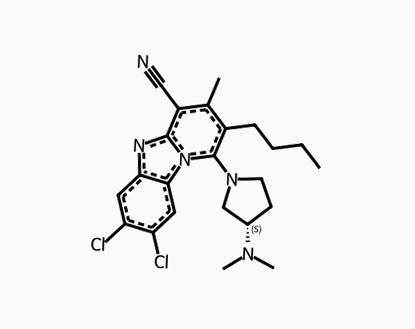 CCCCc1c(C)c(C#N)c2nc3cc(Cl)c(Cl)cc3n2c1N1CC[C@H](N(C)C)C1